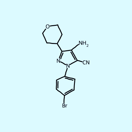 N#Cc1c(N)c(C2CCOCC2)nn1-c1ccc(Br)cc1